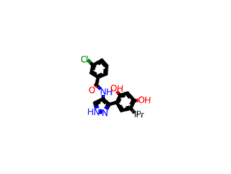 CC(C)c1cc(-c2n[nH]cc2NC(=O)c2cccc(Cl)c2)c(O)cc1O